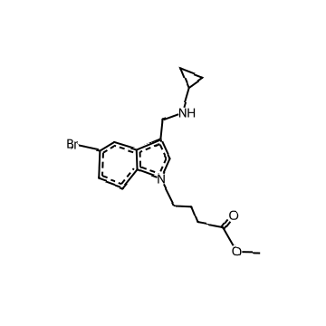 COC(=O)CCCn1cc(CNC2CC2)c2cc(Br)ccc21